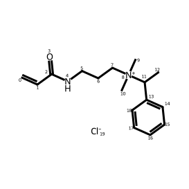 C=CC(=O)NCCC[N+](C)(C)C(C)c1ccccc1.[Cl-]